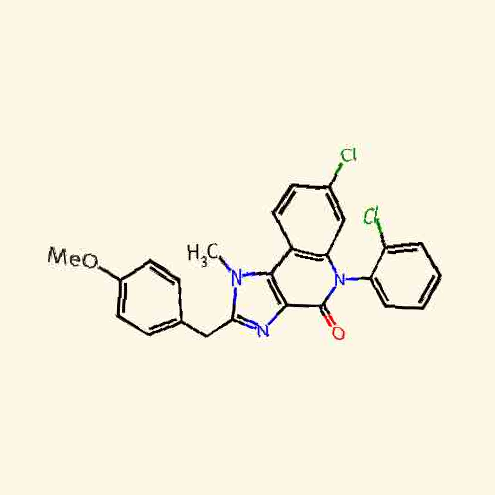 COc1ccc(Cc2nc3c(=O)n(-c4ccccc4Cl)c4cc(Cl)ccc4c3n2C)cc1